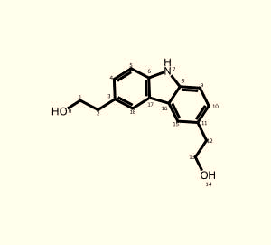 OCCc1ccc2[nH]c3ccc(CCO)cc3c2c1